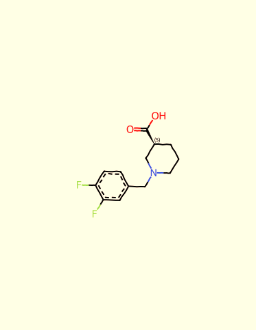 O=C(O)[C@H]1CCCN(Cc2ccc(F)c(F)c2)C1